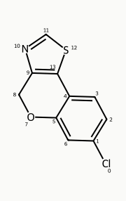 Clc1ccc2c(c1)OCc1ncsc1-2